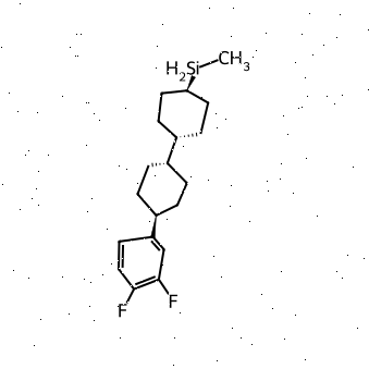 C[SiH2][C@H]1CC[C@H]([C@H]2CC[C@H](c3ccc(F)c(F)c3)CC2)CC1